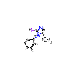 Cc1cnc(I)n1-c1ccccc1